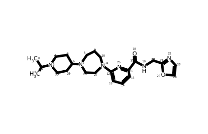 CC(C)N1CCC(N2CCCN(c3cccc(C(=O)NCc4ncco4)n3)CC2)CC1